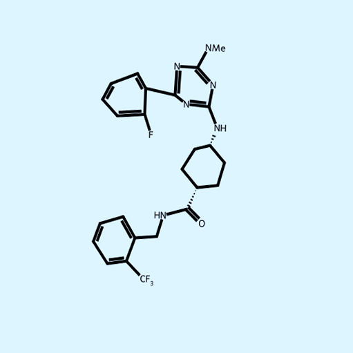 CNc1nc(N[C@H]2CC[C@@H](C(=O)NCc3ccccc3C(F)(F)F)CC2)nc(-c2ccccc2F)n1